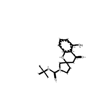 CC(C)(C)OC(=O)N1CCC2(CC(=O)c3c(O)cccc3O2)C1